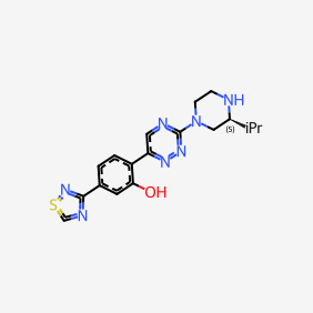 CC(C)[C@H]1CN(c2ncc(-c3ccc(-c4ncsn4)cc3O)nn2)CCN1